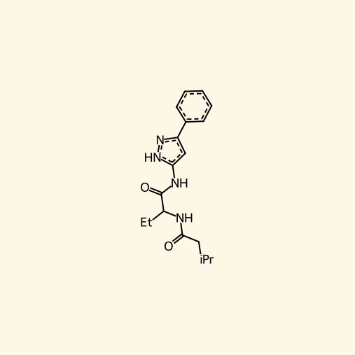 CCC(NC(=O)CC(C)C)C(=O)Nc1cc(-c2ccccc2)n[nH]1